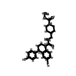 CC(C)(C)OC(=O)N1CCC(CNC(=O)N2CCN(c3ccc(F)cc3)c3cc(F)ccc32)CC1